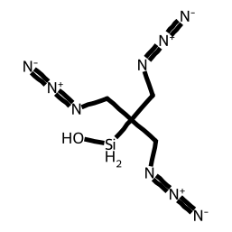 [N-]=[N+]=NCC(CN=[N+]=[N-])(CN=[N+]=[N-])[SiH2]O